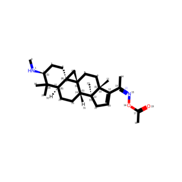 CN[C@H]1CC[C@]23C[C@]24CC[C@]2(C)C(/C(C)=N\OC(C)=O)=CC[C@@]2(C)[C@@H]4CC[C@H]3C1(C)C